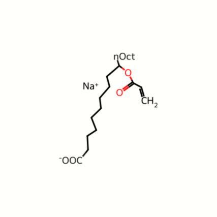 C=CC(=O)OC(CCCCCCCC)CCCCCCCCC(=O)[O-].[Na+]